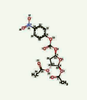 CC(=O)O[C@@H]1O[C@H](OC(=O)Oc2ccc([N+](=O)[O-])cc2)C[C@H]1OC(C)=O